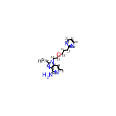 CCCc1nc2c(N)nc(C)cc2n1CCOCCCc1ncccn1